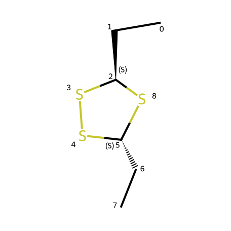 CC[C@@H]1SS[C@@H](CC)S1